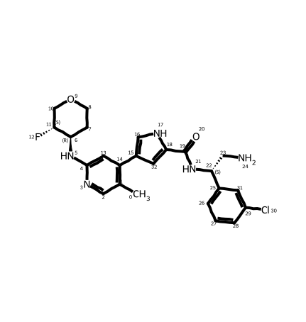 Cc1cnc(N[C@@H]2CCOC[C@H]2F)cc1-c1c[nH]c(C(=O)N[C@H](CN)c2cccc(Cl)c2)c1